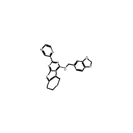 c1cnc(-c2nc(NCc3ccc4c(c3)OCO4)c3c4c(sc3n2)CCCC4)cn1